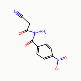 N#CCC(=O)N(N)C(=O)c1ccc([N+](=O)[O-])cc1